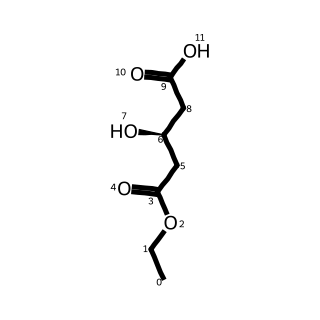 CCOC(=O)C[C@@H](O)CC(=O)O